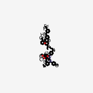 CCN(CCCN(C)c1ccc(/C(=C/C2(/C=C(/c3ccc(OC)cc3)c3ccc(N(C)C)cc3)OC(=O)c3c(Cl)c(Cl)c(Cl)c(Cl)c32)c2ccc(OC)cc2)cc1)c1ccc2c(c1)Oc1ccc(Nc3cccc(C(F)(F)F)c3)cc1C21OC(=O)c2ccccc21